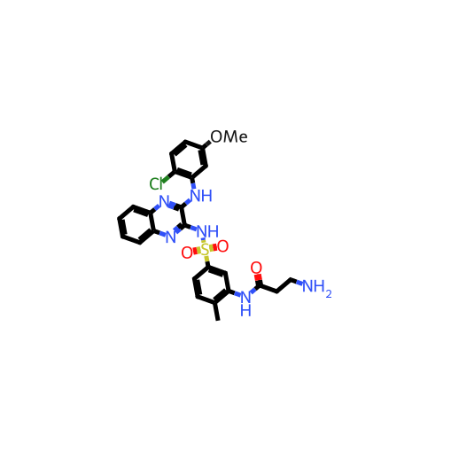 COc1ccc(Cl)c(Nc2nc3ccccc3nc2NS(=O)(=O)c2ccc(C)c(NC(=O)CCN)c2)c1